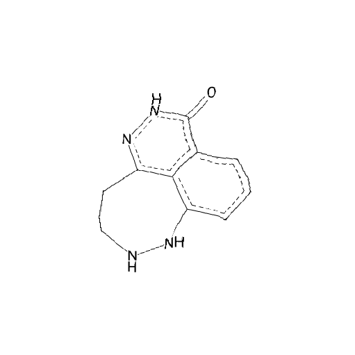 O=c1[nH]nc2c3c(cccc13)NNCC2